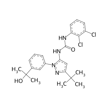 CC(C)(C)c1cc(NC(=O)Nc2cccc(Cl)c2Cl)n(-c2cccc(C(C)(C)O)c2)n1